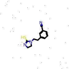 N#Cc1cccc(CCN2CCN=C2S)c1